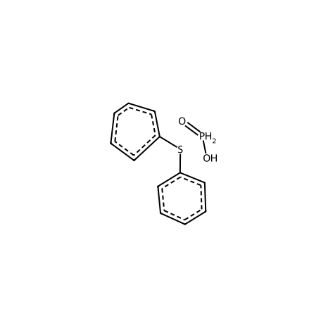 O=[PH2]O.c1ccc(Sc2ccccc2)cc1